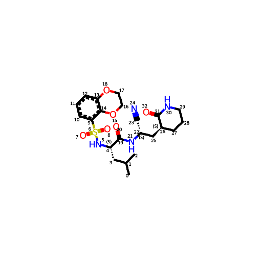 CC(C)C[C@H](NS(=O)(=O)c1cccc2c1OCCO2)C(=O)N[C@H](C#N)C[C@@H]1CCCNC1=O